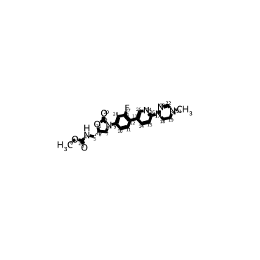 COC(=O)NC[C@H]1CN(c2ccc(-c3ccc(N4CCN(C)C=N4)nc3)c(F)c2)C(=O)O1